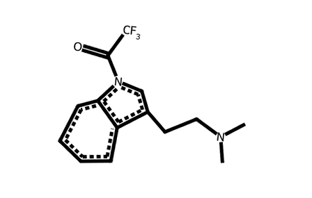 CN(C)CCc1cn(C(=O)C(F)(F)F)c2ccccc12